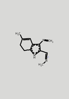 C=Nc1c(/C=N\C)[nH]c2c1C=C(C)CC2